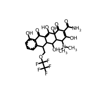 CN(C)C1C(O)=C(C(N)=O)C(=O)C2(O)C(O)=C3C(=O)c4c(O)cccc4C(COC(F)(F)C(F)(F)F)C3C(O)C12